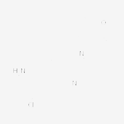 Nc1cc(N2CC3CC2CO3)ncc1Cl